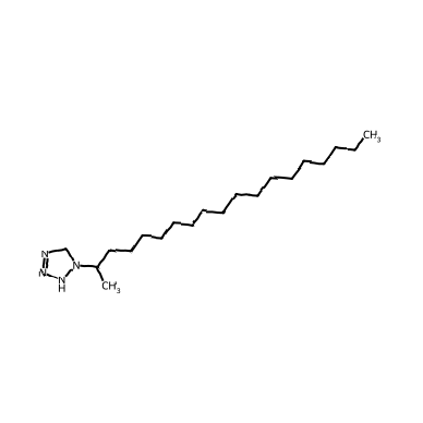 CCCCCCCCCCCCCCCCCC(C)N1CN=NN1